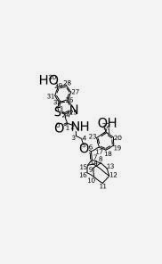 O=C(NCCOC(=C1C2CC3CC(C2)CC1C3)c1cccc(O)c1)c1nc2ccc(O)cc2s1